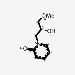 COC[C@H](O)Cn1ccc[c]c1=O